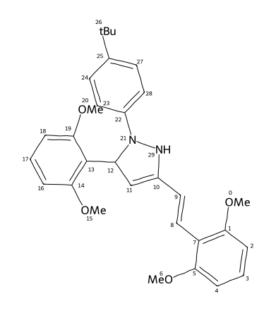 COc1cccc(OC)c1C=CC1=CC(c2c(OC)cccc2OC)N(c2ccc(C(C)(C)C)cc2)N1